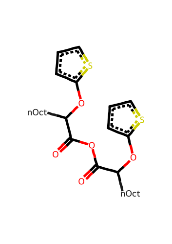 CCCCCCCCC(Oc1cccs1)C(=O)OC(=O)C(CCCCCCCC)Oc1cccs1